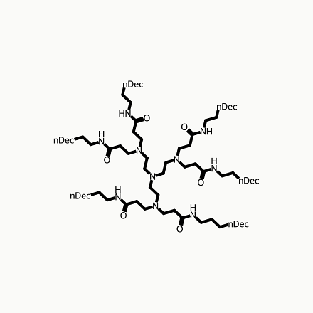 CCCCCCCCCCCCCNC(=O)CCN(CCC(=O)NCCCCCCCCCCCC)CCN(CCN(CCC(=O)NCCCCCCCCCCCC)CCC(=O)NCCCCCCCCCCCC)CCN(CCC(=O)NCCCCCCCCCCCC)CCC(=O)NCCCCCCCCCCCC